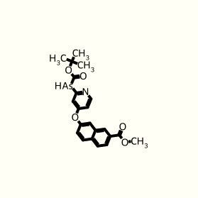 COC(=O)c1ccc2ccc(Oc3ccnc([AsH]C(=O)OC(C)(C)C)c3)cc2c1